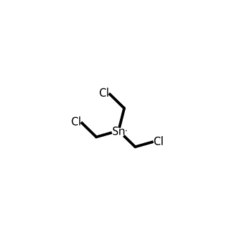 Cl[CH2][Sn]([CH2]Cl)[CH2]Cl